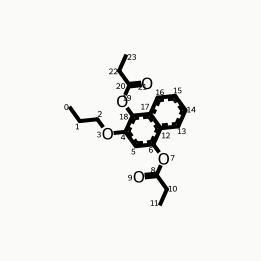 CCCOc1cc(OC(=O)CC)c2ccccc2c1OC(=O)CC